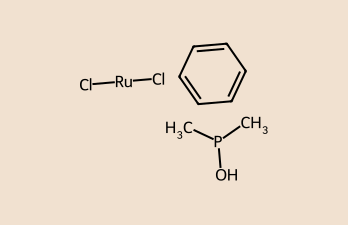 CP(C)O.[Cl][Ru][Cl].c1ccccc1